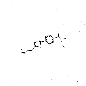 CON(C)C(=O)c1ccc(-c2nc(CCC=O)cs2)cc1